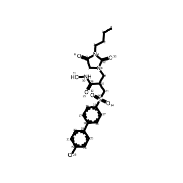 CCCCN1C(=O)CN(CC(CS(=O)(=O)c2ccc(-c3ccc(Cl)cc3)cc2)C(=O)NO)C1=O